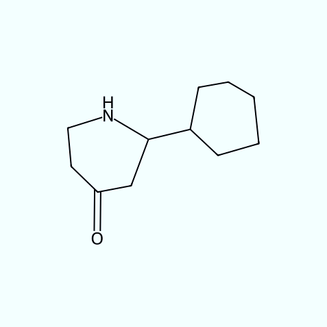 O=C1CCNC(C2CCCCC2)C1